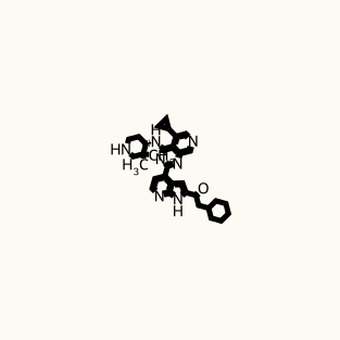 CC1(C)CNCC[C@@H]1Nc1nc(-c2ccnc3[nH]c(C(=O)CC4CCCCC4)cc23)nc2cncc(C3CC3)c12